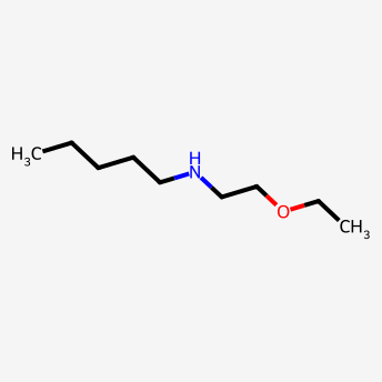 CCCCCNCCOCC